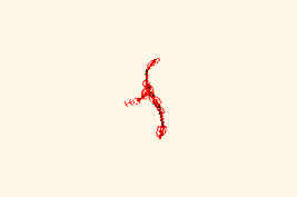 C=CC(=O)OCCCCCCCCCCCOc1ccc(OC(=O)c2ccc(C(=O)Oc3ccc(OCCCCCCCCCCCOC(=O)C=C)cc3)c(C(=O)OCCCCO)c2)cc1